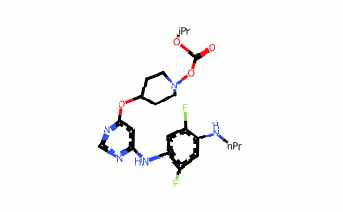 CCCNc1cc(F)c(Nc2cc(OC3CCN(OC(=O)OC(C)C)CC3)ncn2)cc1F